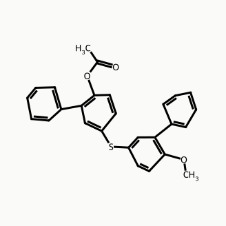 COc1ccc(Sc2ccc(OC(C)=O)c(-c3ccccc3)c2)cc1-c1ccccc1